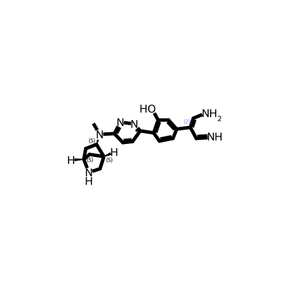 CN(c1ccc(-c2ccc(/C(C=N)=C/N)cc2O)nn1)[C@H]1C[C@@H]2C[C@H]1CN2